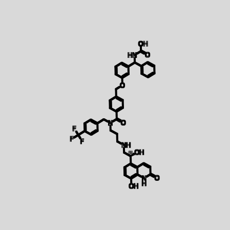 O=C(O)NC(c1ccccc1)c1cccc(OCc2ccc(C(=O)N(CCCNC[C@@H](O)c3ccc(O)c4[nH]c(=O)ccc34)Cc3ccc(C(F)(F)F)cc3)cc2)c1